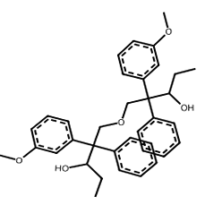 CCC(O)C(COCC(c1ccccc1)(c1cccc(OC)c1)C(O)CC)(c1ccccc1)c1cccc(OC)c1